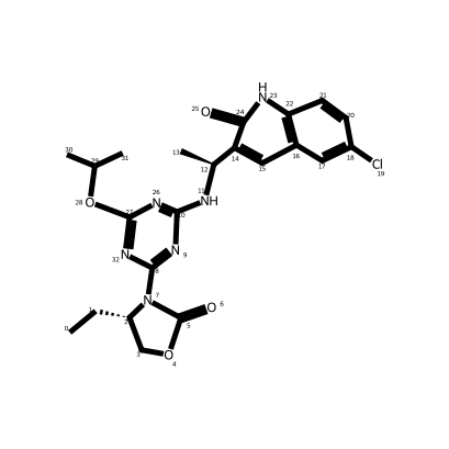 CC[C@H]1COC(=O)N1c1nc(N[C@@H](C)c2cc3cc(Cl)ccc3[nH]c2=O)nc(OC(C)C)n1